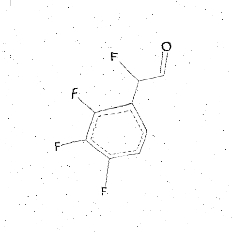 O=CC(F)c1ccc(F)c(F)c1F